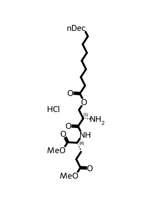 CCCCCCCCCCCCCCCCCC(=O)OC[C@H](N)C(=O)N[C@H](CCC(=O)OC)C(=O)OC.Cl